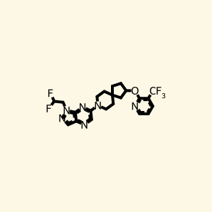 FC(F)Cn1ncc2ncc(N3CCC4(CCC(Oc5ncccc5C(F)(F)F)C4)CC3)nc21